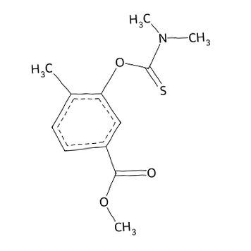 COC(=O)c1ccc(C)c(OC(=S)N(C)C)c1